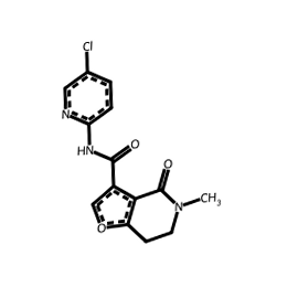 CN1CCc2occ(C(=O)Nc3ccc(Cl)cn3)c2C1=O